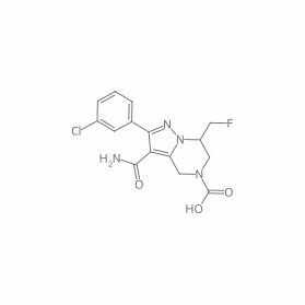 NC(=O)c1c(-c2cccc(Cl)c2)nn2c1CN(C(=O)O)CC2CF